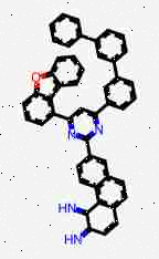 N=C1C=Cc2ccc3cc(-c4nc(-c5cccc(-c6cccc(-c7ccccc7)c6)c5)cc(-c5cccc6oc7ccccc7c56)n4)ccc3c2C1=N